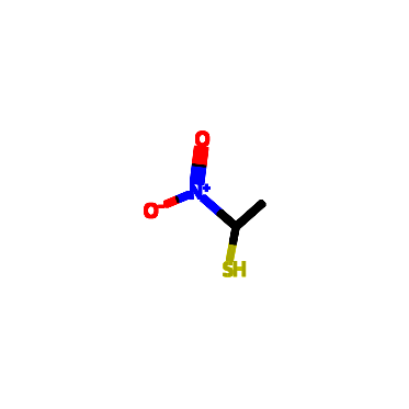 CC(S)[N+](=O)[O-]